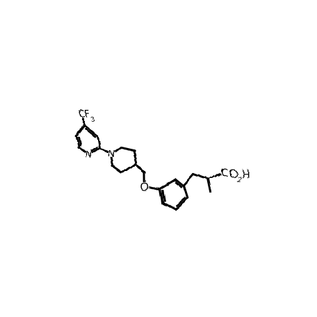 C[C@@H](Cc1cccc(OCC2CCN(c3cc(C(F)(F)F)ccn3)CC2)c1)C(=O)O